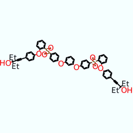 CCC(O)(C#Cc1ccc(Oc2ccccc2S(=O)(=O)c2ccc(Oc3cccc(Oc4ccc(S(=O)(=O)c5ccccc5Oc5ccc(C#CC(O)(CC)CC)cc5)cc4)c3)cc2)cc1)CC